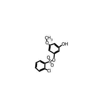 COc1cc(O)cc(OS(=O)(=O)c2ccccc2Cl)c1